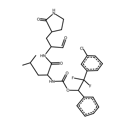 CC(C)CC(NC(=O)OC(c1ccccc1)C(F)(F)c1cccc(Cl)c1)C(=O)NC(C=O)CC1CCNC1=O